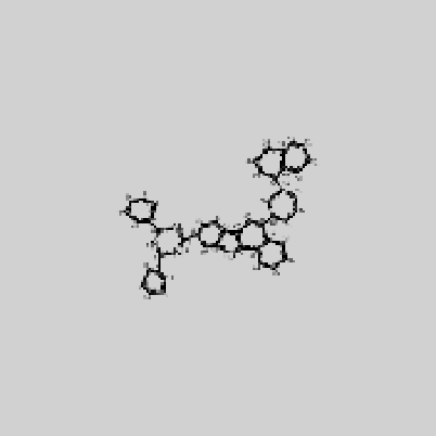 c1ccc(-c2nc(-c3ccccc3)nc(-c3ccc4c(c3)oc3c5ccccc5c(-c5cccc(-c6cccc7ccccc67)c5)cc43)n2)cc1